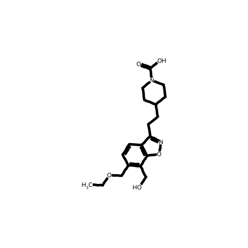 CCOCc1ccc2c(CCC3CCN(C(=O)O)CC3)noc2c1CO